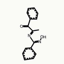 CC(=NC(=NO)c1ccccc1)C(=O)c1ccccc1